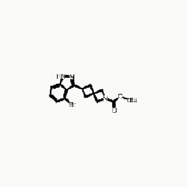 CC(C)(C)OC(=O)N1CC2(CC(c3n[nH]c4cccc(Br)c34)C2)C1